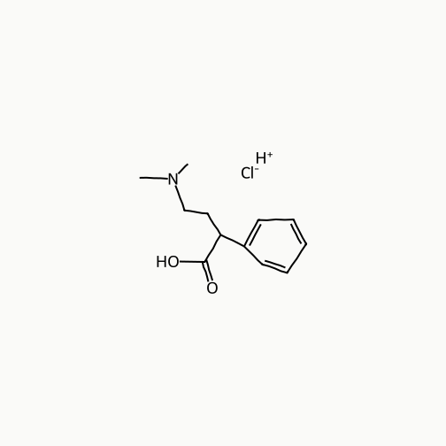 CN(C)CCC(C(=O)O)c1ccccc1.[Cl-].[H+]